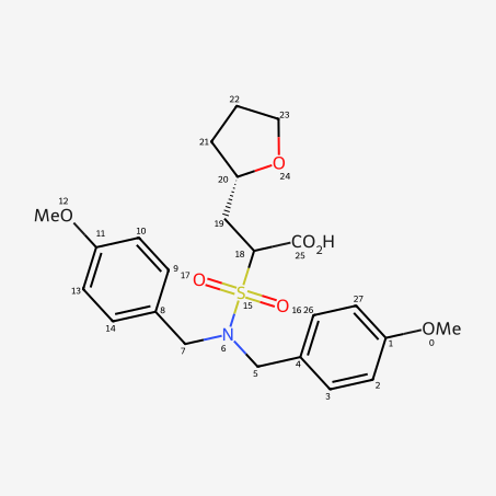 COc1ccc(CN(Cc2ccc(OC)cc2)S(=O)(=O)C(C[C@@H]2CCCO2)C(=O)O)cc1